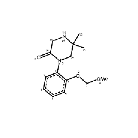 COCOc1ccccc1N1CC(C)(C)NCC1=O